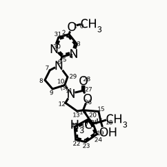 COc1cnc(N2CCC[C@H](N3CCC(CC(C)(C)O)(c4ccccc4)OC3=O)C2)nc1